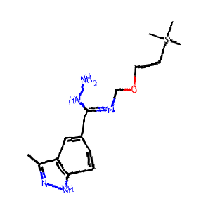 Cc1n[nH]c2ccc(/C(=N/COCC[Si](C)(C)C)NN)cc12